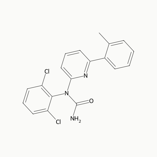 Cc1ccccc1-c1cccc(N(C(N)=O)c2c(Cl)cccc2Cl)n1